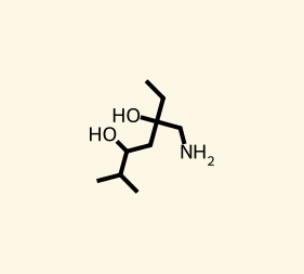 CCC(O)(CN)CC(O)C(C)C